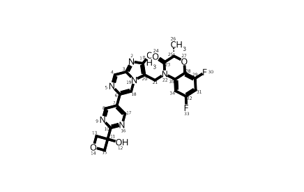 Cc1nc2cnc(-c3cnc(C4(O)COC4)nc3)cn2c1CN1C(=O)[C@H](C)Oc2c(F)cc(F)cc21